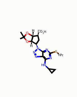 CCCSc1nc(NC2CC2)c2nnn([C@@H]3C[C@H](C(=O)O)[C@H]4OC(C)(C)O[C@H]43)c2n1